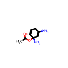 CC(O)OC1(N)C=CCC(N)=C1